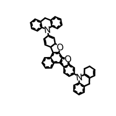 C1=CC2=C(CC1)N(c1ccc3c(c1)oc1c4c(c5ccccc5c13)C1C=CC(N3c5ccccc5Cc5ccccc53)=CC1O4)c1ccccc1C2